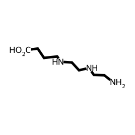 NCCNCCNCCCC(=O)O